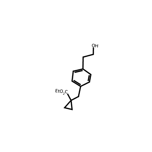 CCOC(=O)C1(Cc2ccc(CCO)cc2)CC1